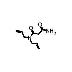 C=CCN(CC=C)C(=O)CC(N)=O